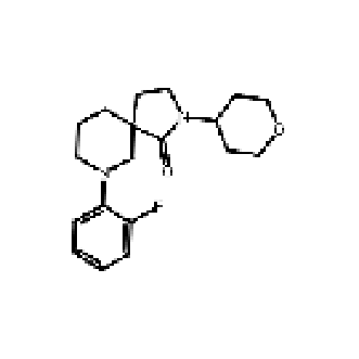 O=C1N(C2CCOCC2)CC[C@@]12CCCN(c1ccccc1F)C2